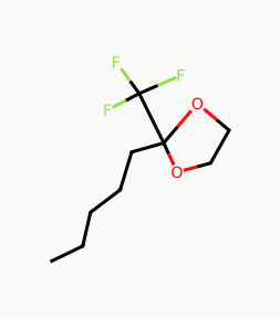 CCCCCC1(C(F)(F)F)OCCO1